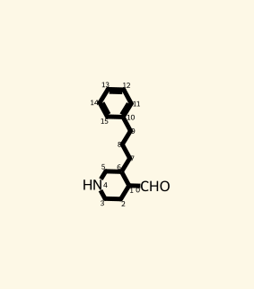 O=CC1CCNCC1CCCc1ccccc1